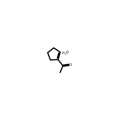 CC(=O)C1=CCCC1.O